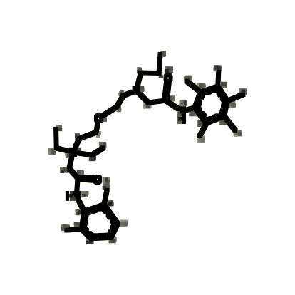 CCCN(CCOCC[N+](CC)(CC)CC(=O)Nc1c(C)cccc1C)CC(=O)Nc1c(C)c(C)c(C)c(C)c1C